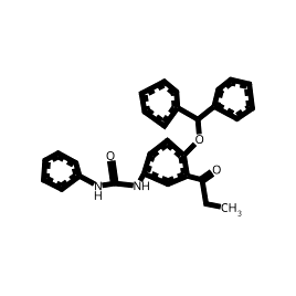 CCC(=O)c1cc(NC(=O)Nc2ccccc2)ccc1OC(c1ccccc1)c1ccccc1